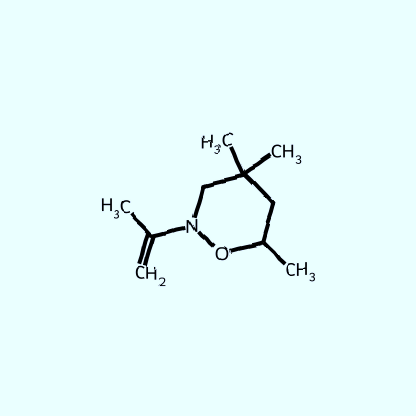 C=C(C)N1CC(C)(C)CC(C)O1